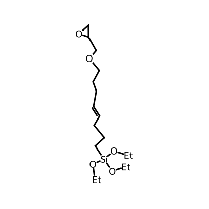 CCO[Si](CCCC=CCCCOCC1CO1)(OCC)OCC